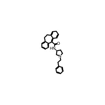 O=C(N[C@H]1CCN(CCc2ccccc2)C1)C1=C2C=CCC=C2CCc2ccccc21